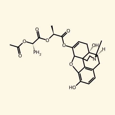 CC(=O)O[C@@H](P)C(=O)O[C@@H](C)C(=O)OC1=CC[C@@]2(O)[C@H]3Cc4ccc(O)c5c4C2(CCN3C)C1O5